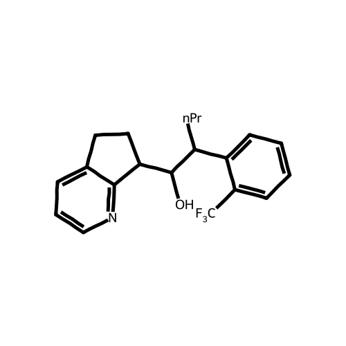 CCCC(c1ccccc1C(F)(F)F)C(O)C1CCc2cccnc21